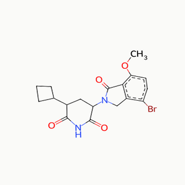 COc1ccc(Br)c2c1C(=O)N(C1CC(C3CCC3)C(=O)NC1=O)C2